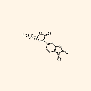 CCn1c(=O)sc2cc(N3C[C@H](C(=O)O)OC3=O)ccc21